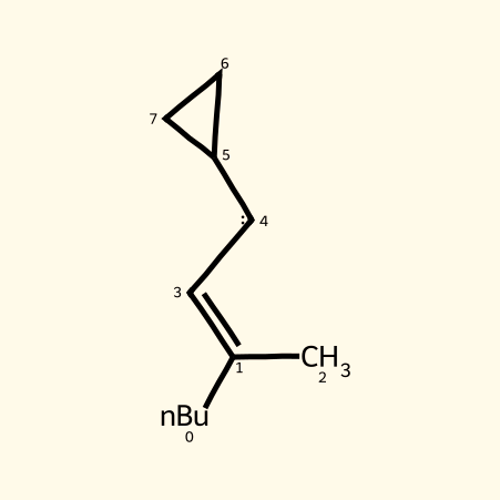 CCCCC(C)=C[C]C1CC1